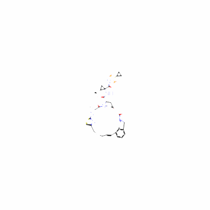 C=C[C@@H]1C[C@]1(NC(=O)[C@@H]1C[C@@H]2CN1C(=O)[C@H]([C@@H](C)CC)Nc1nc(cs1)CCC/C=C/c1cccc3c1CN(C3)C(=O)O2)C(=O)NS(=O)(=O)C1CC1